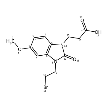 COc1ccc2c(c1)n(CCBr)c(=O)n2CCC(=O)O